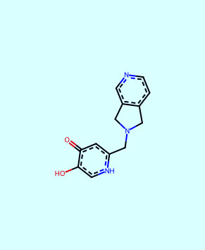 O=c1cc(CN2Cc3ccncc3C2)[nH]cc1O